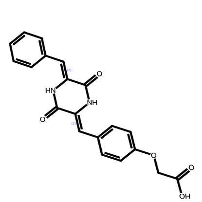 O=C(O)COc1ccc(/C=c2\[nH]c(=O)/c(=C/c3ccccc3)[nH]c2=O)cc1